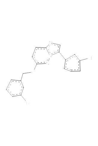 Clc1cccc(-c2cnc3ccc(OCc4cccc(Br)c4)nn23)c1